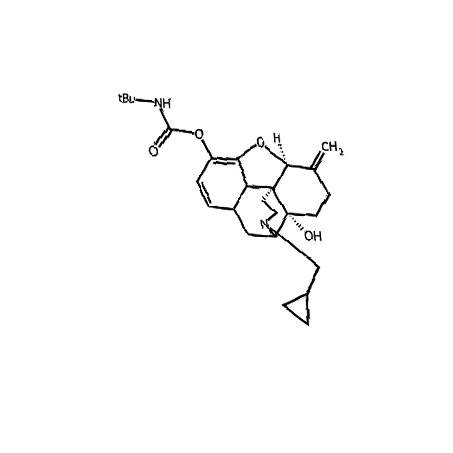 C=C1CC[C@@]2(O)C3CC4C=CC(OC(=O)NC(C)(C)C)=C5O[C@@H]1[C@]2(CCN3CC1CC1)C54